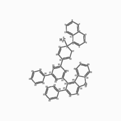 CC1(c2cccc3ccccc23)C=CC(c2nc(-c3ccccc3)nc(-c3c(-c4ccccc4)ccc4oc5ccccc5c34)n2)=CC1